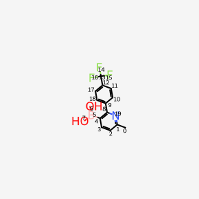 Cc1ccc(B(O)O)c(-c2ccc(C(F)(F)F)cc2)n1